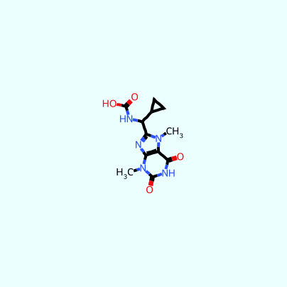 Cn1c(C(NC(=O)O)C2CC2)nc2c1c(=O)[nH]c(=O)n2C